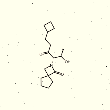 C[C@@H](O)[C@@H](C(=O)CCC1CCC1)N1CC2(CCCC2)C1=O